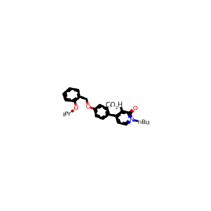 CCCCn1ccc(-c2ccc(OCc3ccccc3OC(C)C)cc2)c(C(=O)O)c1=O